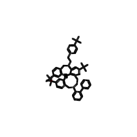 CC(C)(C)c1ccc(CCC2Cc3ccc(C(C)(C)C)cc3B3c4cc(C(C)(C)C)ccc4CC(c4ccccc4-c4ccccc4)CCc4cc(C(C)(C)C)cc2c43)cc1